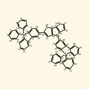 c1ccc([Si]2(c3ccccc3)c3ccccc3-c3cc(-c4cc5c(s4)c4sccc4n5-c4ccc5c(c4)-c4ccccc4[Si]5(c4ccccc4)c4ccccc4)ccc32)cc1